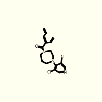 C=C/C=C(\C=C)C(=O)N1CCCN(c2c(Cl)cncc2Cl)CC1